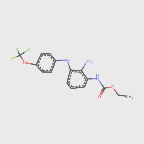 CCOC(=O)Nc1cccc(Nc2ccc(OC(F)(F)F)cc2)c1N